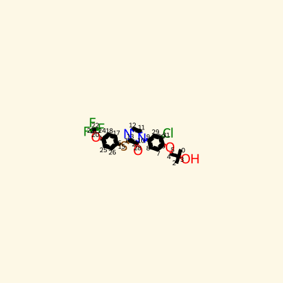 CC(C)(O)COc1ccc(-n2ccnc(Sc3ccc(OC(F)(F)F)cc3)c2=O)cc1Cl